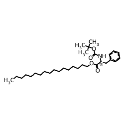 CCCCCCCCCCCCCCCCCOC(=O)[C@H](Cc1ccccc1)NC(=O)OC(C)(C)C